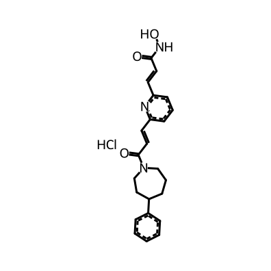 Cl.O=C(C=Cc1cccc(C=CC(=O)N2CCCC(c3ccccc3)CC2)n1)NO